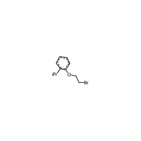 CC(C)c1ccccc1OCCBr